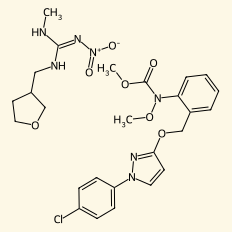 CN/C(=N/[N+](=O)[O-])NCC1CCOC1.COC(=O)N(OC)c1ccccc1COc1ccn(-c2ccc(Cl)cc2)n1